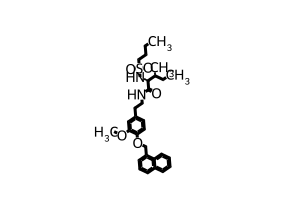 CCCCS(=O)(=O)N[C@H](C(=O)NCCc1ccc(OCc2cccc3ccccc23)c(OC)c1)[C@@H](C)CC